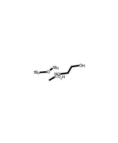 CC(=O)O.CC(C)(C)OC(C)(C)C.OCCO